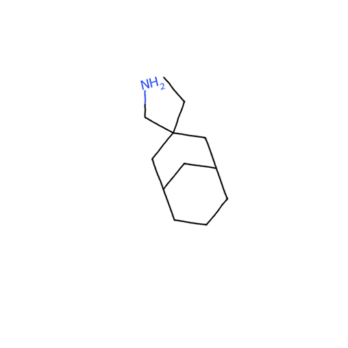 CCC1(CN)CC2CCCC(C2)C1